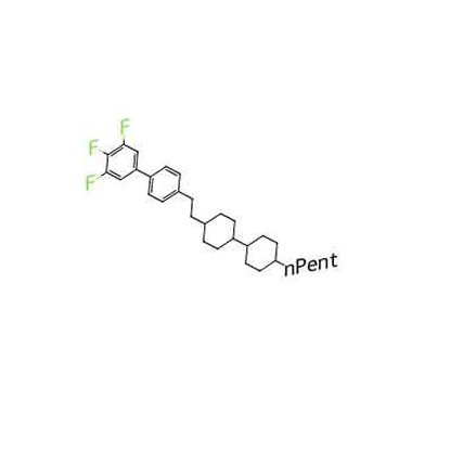 CCCCCC1CCC(C2CCC(CCc3ccc(-c4cc(F)c(F)c(F)c4)cc3)CC2)CC1